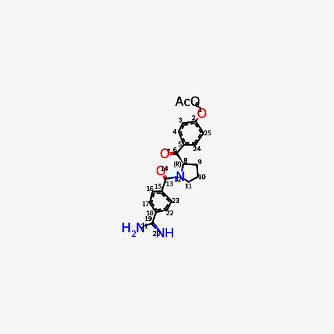 CC(=O)OOc1ccc(C(=O)[C@H]2CCCN2C(=O)c2ccc(C(=N)N)cc2)cc1